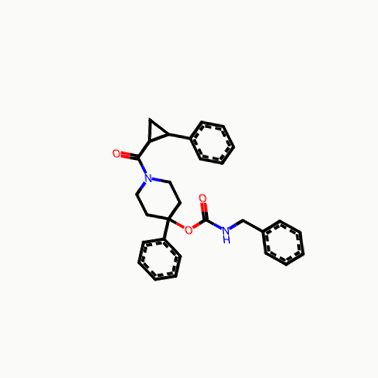 O=C(NCc1ccccc1)OC1(c2ccccc2)CCN(C(=O)C2CC2c2ccccc2)CC1